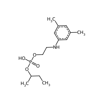 CCC(C)OP(=O)(O)OCCNc1cc(C)cc(C)c1